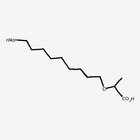 CCCCCCCCCCCCCCCCCCOC(C)C(=O)O